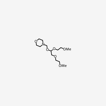 COCCOCC(OCCOC)OCN1CCOCC1